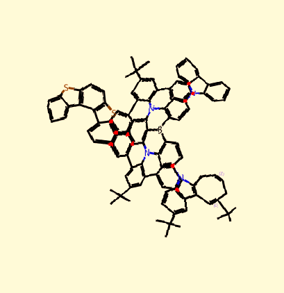 CC(C)(C)/C1=C/c2c(n(-c3ccc4c(c3)N(c3c(-c5ccccc5)cc(C(C)(C)C)cc3-c3ccccc3)c3cc(-c5cccc6c5sc5ccc7sc8ccccc8c7c56)cc5c3B4c3ccc(-n4c6ccccc6c6ccccc64)cc3N5c3c(-c4ccccc4)cc(C(C)(C)C)cc3-c3ccccc3)c3ccc(C(C)(C)C)cc23)C/C=C\C1